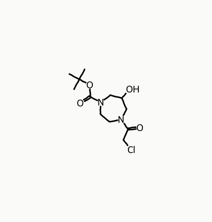 CC(C)(C)OC(=O)N1CCN(C(=O)CCl)CC(O)C1